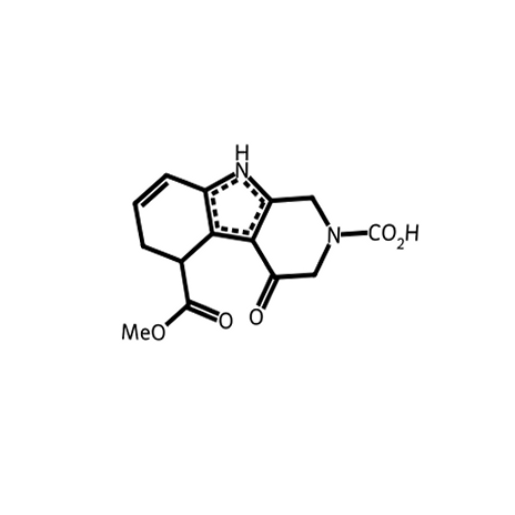 COC(=O)C1CC=Cc2[nH]c3c(c21)C(=O)CN(C(=O)O)C3